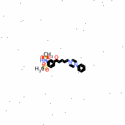 CS(=O)(=O)Nc1cc(C(=O)CCCCN2CCN(c3ccccc3)CC2)ccc1S(C)(=O)=O